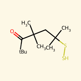 CC(C)(CC(C)(C)C(=O)C(C)(C)C)SS